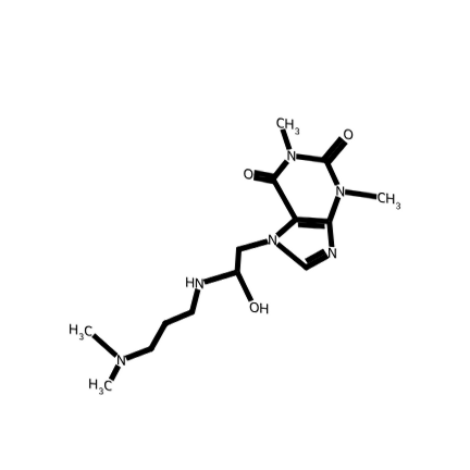 CN(C)CCCNC(O)Cn1cnc2c1c(=O)n(C)c(=O)n2C